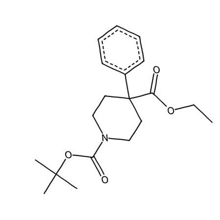 CCOC(=O)C1(c2ccccc2)CCN(C(=O)OC(C)(C)C)CC1